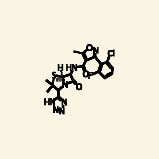 Cc1onc(-c2c(F)cccc2Cl)c1C(=O)NC1C(=O)N2C(c3nnn[nH]3)C(C)(C)S[C@@H]12